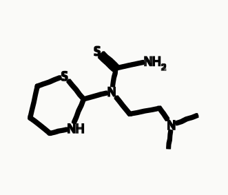 CN(C)CCN(C(N)=S)C1NCCCS1